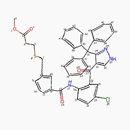 COC(=O)CCSCc1cccc(C(=O)Nc2ccc(Cl)cc2C(=O)c2c[nH]nc2C(c2ccccc2)(c2ccccc2)c2ccccc2)c1